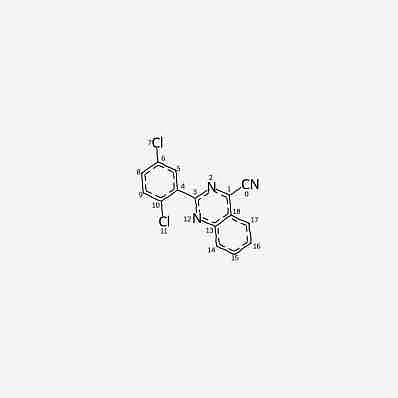 N#Cc1nc(-c2cc(Cl)ccc2Cl)nc2ccccc12